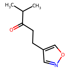 CC(C)C(=O)CCc1cnoc1